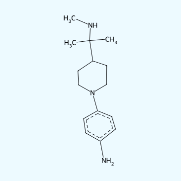 CNC(C)(C)C1CCN(c2ccc(N)cc2)CC1